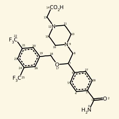 NC(=O)c1ccc(C(CN2CCN(CC(=O)O)CC2)OCc2cc(C(F)(F)F)cc(C(F)(F)F)c2)cc1